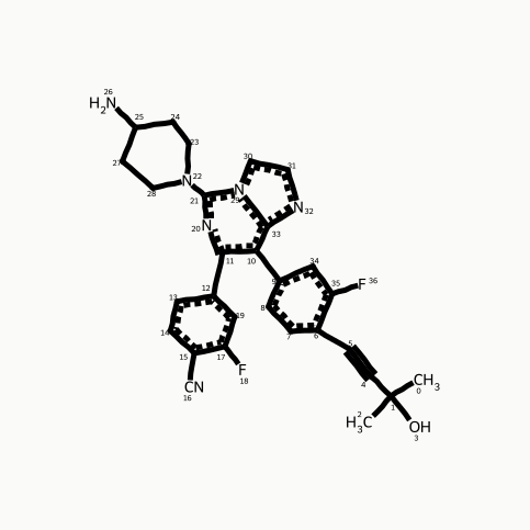 CC(C)(O)C#Cc1ccc(-c2c(-c3ccc(C#N)c(F)c3)nc(N3CCC(N)CC3)n3ccnc23)cc1F